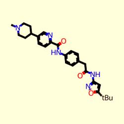 CN1CCC(c2ccc(C(=O)Nc3ccc(CC(=O)Nc4cc(C(C)(C)C)on4)cc3)nc2)CC1